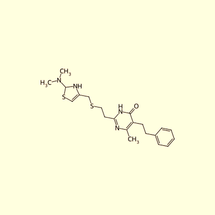 Cc1nc(CCSCC2=CSC(N(C)C)N2)[nH]c(=O)c1CCc1ccccc1